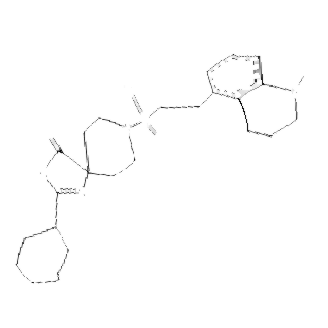 CN1CCCc2c(CCS(=O)(=O)N3CCC4(CC3)N=C(C3CCCCC3)NC4=O)cccc21